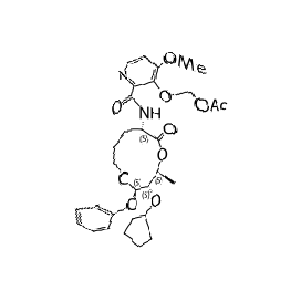 COc1ccnc(C(=O)N[C@H]2CCCC[C@H](Oc3ccccc3)[C@@H](OC3CCCC3)[C@H](C)OC2=O)c1OCOC(C)=O